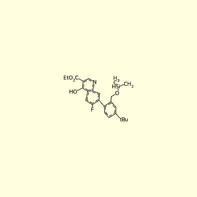 CCOC(=O)c1cnc2cc(-c3ccc(C(C)(C)C)cc3CO[SiH](C)C)c(F)cc2c1O